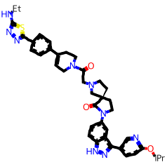 CCNc1nnc(-c2ccc(C3=CCN(C(=O)CN4CC[C@]5(CCN(c6ccc7[nH]nc(-c8ccc(OC(C)C)nc8)c7c6)C5=O)C4)CC3)cc2)s1